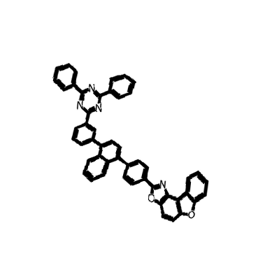 c1ccc(-c2nc(-c3ccccc3)nc(-c3cccc(-c4ccc(-c5ccc(-c6nc7c(ccc8oc9ccccc9c87)o6)cc5)c5ccccc45)c3)n2)cc1